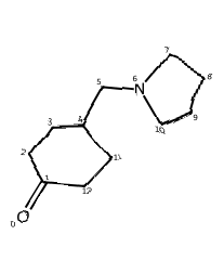 O=C1CCC(CN2CCCC2)CC1